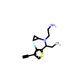 C#Cc1csc(C(CC(F)(F)F)N(CCN)C2CC2)c1F